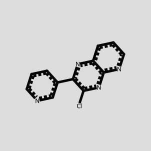 Clc1nc2ncccc2nc1-c1cccnc1